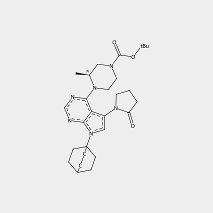 C[C@H]1CN(C(=O)OC(C)(C)C)CCN1c1ncnc2c1c(N1CCCC1=O)cn2C12CCC(CC1)CC2